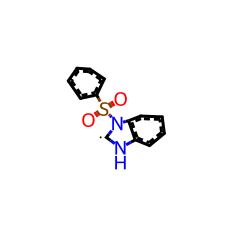 O=S(=O)(c1ccccc1)N1[CH]Nc2ccccc21